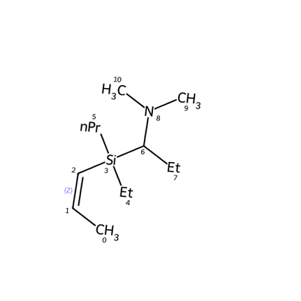 C/C=C\[Si](CC)(CCC)C(CC)N(C)C